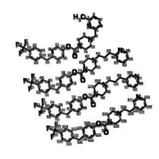 Cc1cccc(CN2CCN(C(=O)Oc3ccc(Cc4ccc(C(F)(F)F)cc4)cc3)CC2)n1.O=C(Oc1ccc(Cc2ccc(C(F)(F)F)cc2)cc1)N1CCN(CCCc2ccccn2)CC1.O=C(Oc1ccc(Cc2ccc(C(F)(F)F)cc2)cc1)N1CCN(CCCc2cccnc2)CC1.O=C(Oc1ccc(Cc2ccc(C(F)(F)F)cc2)cc1)N1CCN(CCc2cccnc2)CC1